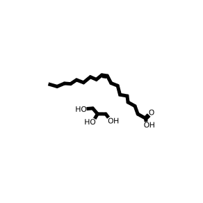 CCCCCCCC/C=C\CCCCCCCC(=O)O.OCC(O)CO